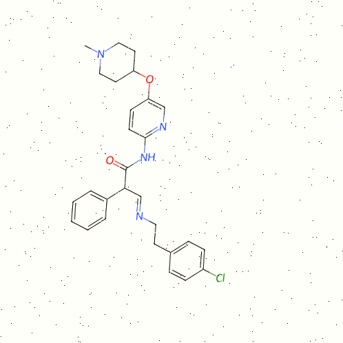 CN1CCC(Oc2ccc(NC(=O)C(/C=N/CCc3ccc(Cl)cc3)c3ccccc3)nc2)CC1